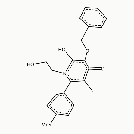 CSc1ccc(-c2c(C)c(=O)c(OCc3ccccc3)c(O)n2CCO)cc1